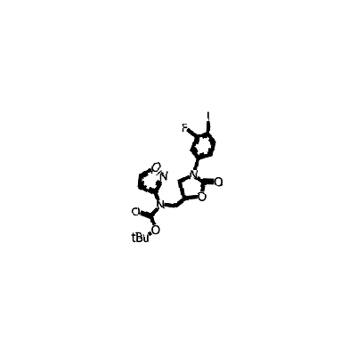 CC(C)(C)OC(=O)N(CC1CN(c2ccc(I)c(F)c2)C(=O)O1)c1ccon1